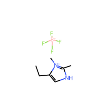 CCc1c[nH]c(C)[n+]1C.F[B-](F)(F)F